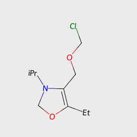 CCC1=C(COCCl)N(C(C)C)CO1